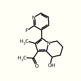 CC(=O)c1c(C)c(-c2cccnc2F)n2c1C(O)CCC2